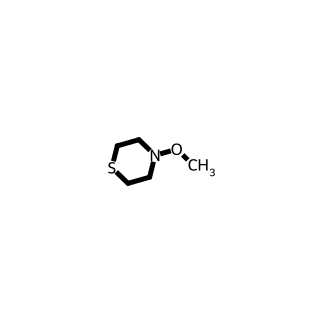 CON1CCSCC1